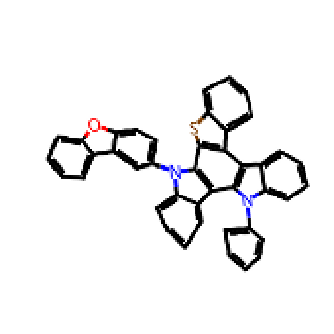 c1ccc(-n2c3ccccc3c3c4c5ccccc5sc4c4c(c5ccccc5n4-c4ccc5oc6ccccc6c5c4)c32)cc1